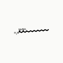 CCCCCCCCCCCCCCC(N)CC(=N)N